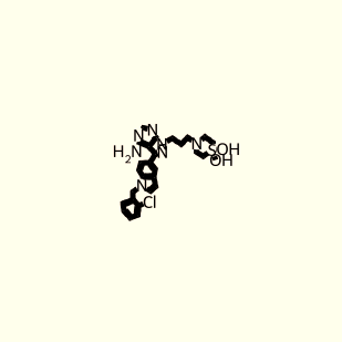 Nc1ncnc2c1c(-c1ccc3c(ccn3Cc3ccccc3Cl)c1)nn2CCCN1CCS(O)(O)CC1